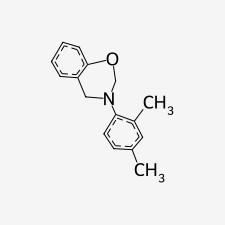 Cc1ccc(N2COc3ccccc3C2)c(C)c1